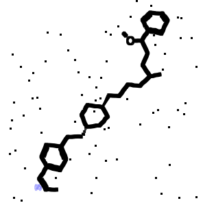 C/C=C\c1ccc(CC[C@H]2CC[C@H](CCCCC(C)CCC(OC)c3ccccc3)CC2)cc1